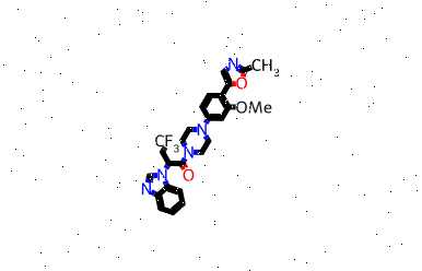 COc1cc(N2CCN(C(=O)C(CC(F)(F)F)n3cnc4ccccc43)CC2)ccc1-c1cnc(C)o1